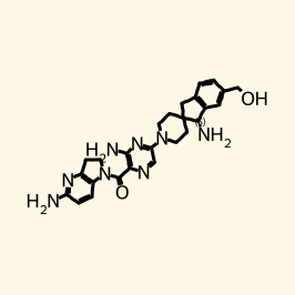 Nc1ccc2c(n1)CCN2C(=O)c1ncc(N2CCC3(CC2)Cc2ccc(CO)cc2[C@H]3N)nc1N